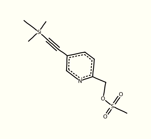 C[Si](C)(C)C#Cc1ccc(COS(C)(=O)=O)nc1